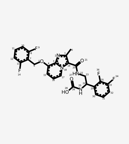 Cc1nc2c(OCc3c(F)cccc3F)cccn2c1C(=O)NCC(NC(=O)O)c1cccc(F)c1F